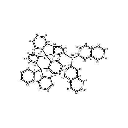 c1ccc(C2(c3ccccc3)c3ccccc3C3(c4ccccc4-c4ccc(N(c5ccc6ccccc6c5)c5ccc6ccccc6c5)cc43)c3ccccc32)cc1